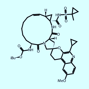 CC[C@H](C)OC(=O)N[C@H]1CCCCC/C=C\[C@@H]2C[C@@]2(C(=O)NS(=O)(=O)C2(C)CC2)NC(=O)[C@@H]2C[C@]3(CCc4c(c(C5CC5)nc5ccc(OC)cc45)O3)CN2C1=O